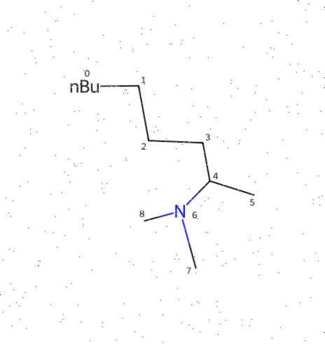 CCCCCCCC(C)N(C)C